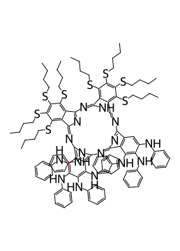 CCCCSc1c(SCCCC)c(SCCCC)c2c(c1SCCCC)-c1nc-2nc2c3c(Nc4ccccc4)c(Nc4ccccc4)c(Nc4ccccc4)c(Nc4ccccc4)c3c(nc3nc(nc4[nH]c(n1)c1c(SCCCC)c(SCCCC)c(SCCCC)c(SCCCC)c41)-c1cc(Nc4ccccc4)c(Nc4ccccc4)c(Nc4ccccc4)c1-3)n2Nc1ccccc1